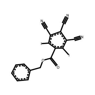 N#Cc1c(I)c(C(=O)OCc2ccccc2)c(I)c(C#N)c1C#N